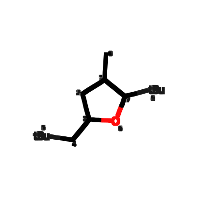 CC1CC(CC(C)(C)C)OC1C(C)(C)C